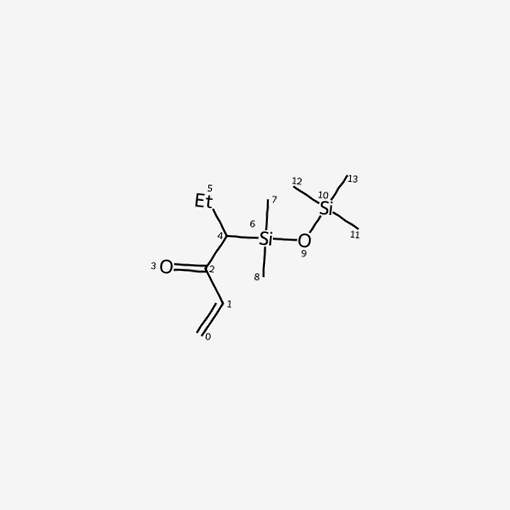 C=CC(=O)C(CC)[Si](C)(C)O[Si](C)(C)C